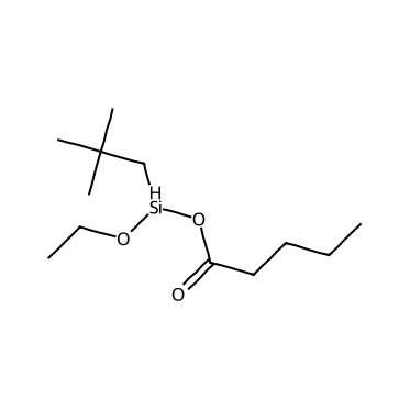 CCCCC(=O)O[SiH](CC(C)(C)C)OCC